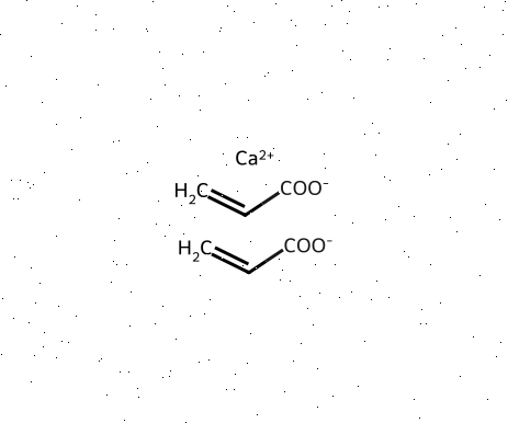 C=CC(=O)[O-].C=CC(=O)[O-].[Ca+2]